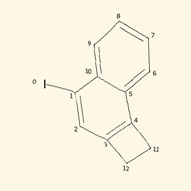 Ic1cc2c(c3ccccc13)CC2